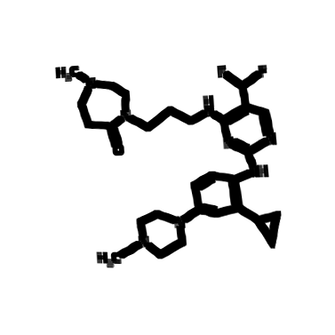 CN1CCC(=O)N(CCCNc2nc(Nc3ccc(N4CCN(C)CC4)cc3C3CC3)ncc2C(F)F)CC1